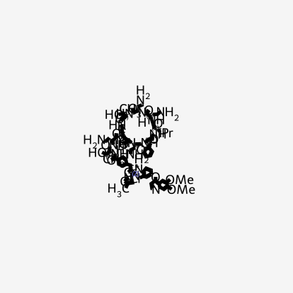 COc1cc2nccc(Oc3ccc(N/C(=N/c4cc(C)on4)[S+]([O-])Cc4ccc(C(=O)N[C@H](C(=O)N[C@H](CCN)C(=O)N[C@@H]5CCNC(=O)[C@H]([C@@H](C)O)NC(=O)[C@H](CCN)NC(=O)[C@H](CCN)NC(=O)[C@H](CC(C)C)NC(=O)[C@@H](Cc6ccccc6)NC(=O)[C@H](CCN)NC5=O)[C@H](C)O)cc4)c(Cl)c3)c2cc1OC